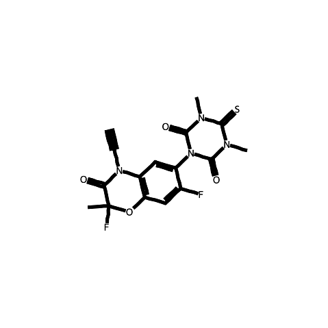 C#CN1C(=O)C(C)(F)Oc2cc(F)c(-n3c(=O)n(C)c(=S)n(C)c3=O)cc21